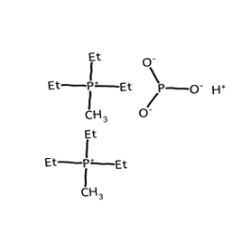 CC[P+](C)(CC)CC.CC[P+](C)(CC)CC.[H+].[O-]P([O-])[O-]